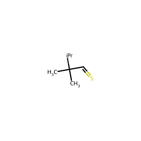 CC(C)C(C)(C)C=S